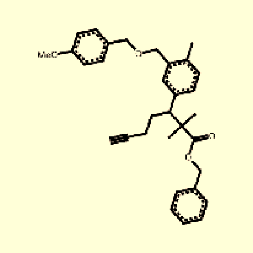 C#CCCC(c1ccc(C)c(COCc2ccc(OC)cc2)c1)C(C)(C)C(=O)OCc1ccccc1